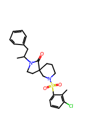 Cc1c(Cl)cccc1S(=O)(=O)N1CCCC2(CCN(C(C)Cc3ccccc3)C2=O)C1